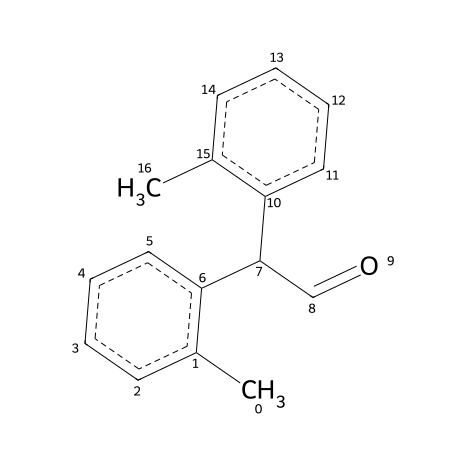 Cc1ccccc1C(C=O)c1ccccc1C